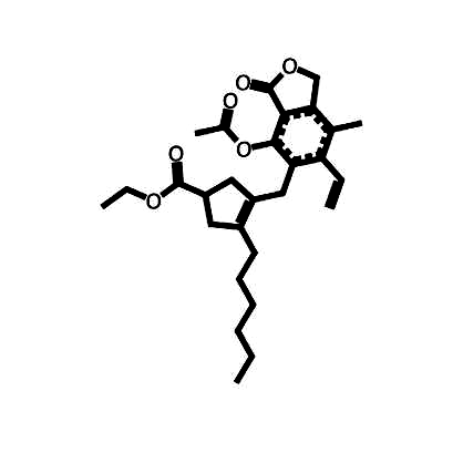 C=Cc1c(C)c2c(c(OC(C)=O)c1CC1=C(CCCCCC)CC(C(=O)OCC)C1)C(=O)OC2